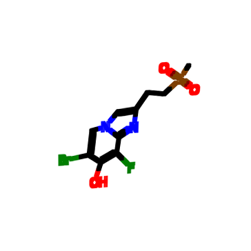 CS(=O)(=O)CCc1cn2cc(Br)c(O)c(F)c2n1